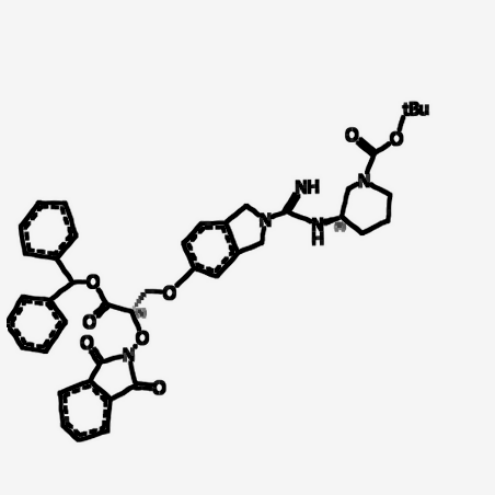 CC(C)(C)OC(=O)N1CCC[C@@H](NC(=N)N2Cc3ccc(OC[C@H](ON4C(=O)c5ccccc5C4=O)C(=O)OC(c4ccccc4)c4ccccc4)cc3C2)C1